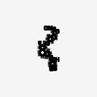 COC(=O)C[C@@H]1CCc2cc(OCc3cc4c(cc3F)CCCc3cc(OCC5(O)CCS(=O)(=O)CC5)ccc3-4)ccc21